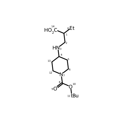 CCC(CNC1CCN(C(=O)OC(C)(C)C)CC1)C(=O)O